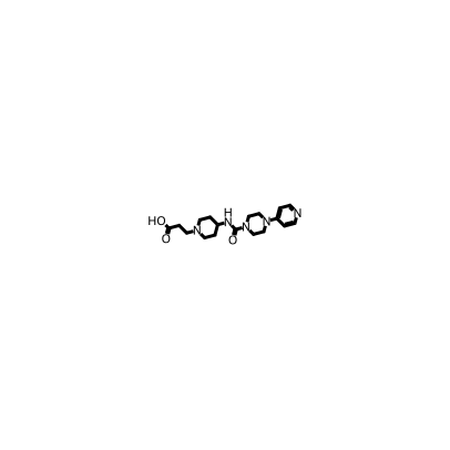 O=C(O)CCN1CCC(NC(=O)N2CCN(c3ccncc3)CC2)CC1